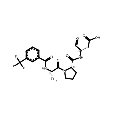 C[C@H](NC(=O)c1cccc(C(F)(F)F)c1)C(=O)N1CCC[C@H]1C(=O)N[C@H](C=O)CC(=O)O